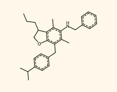 CCCC1COc2c(Cc3ccc(C(C)C)cc3)c(C)c(NCc3ccccc3)c(C)c21